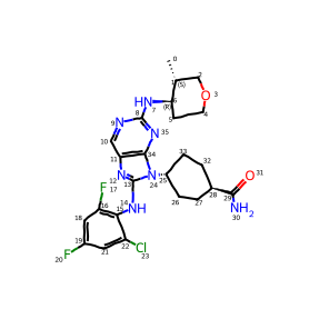 C[C@@H]1COCC[C@H]1Nc1ncc2nc(Nc3c(F)cc(F)cc3Cl)n([C@H]3CC[C@H](C(N)=O)CC3)c2n1